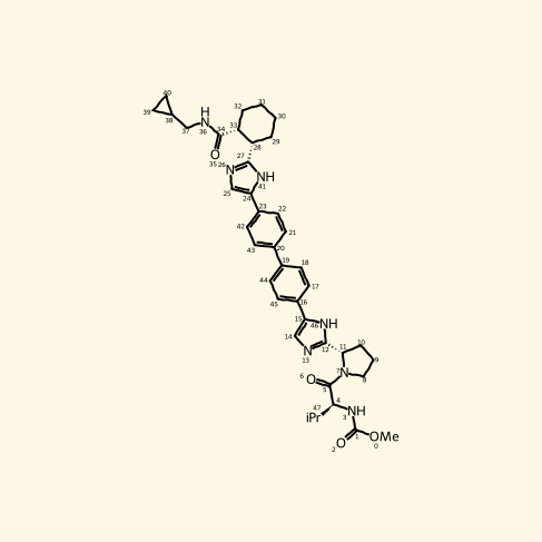 COC(=O)N[C@H](C(=O)N1CCC[C@H]1c1ncc(-c2ccc(-c3ccc(-c4cnc([C@H]5CCCC[C@H]5C(=O)NCC5CC5)[nH]4)cc3)cc2)[nH]1)C(C)C